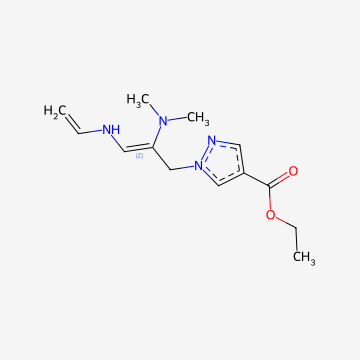 C=CN/C=C(/Cn1cc(C(=O)OCC)cn1)N(C)C